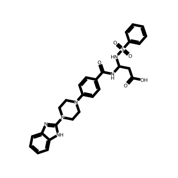 O=C(O)CC(NC(=O)c1ccc(N2CCN(c3nc4ccccc4[nH]3)CC2)cc1)NS(=O)(=O)c1ccccc1